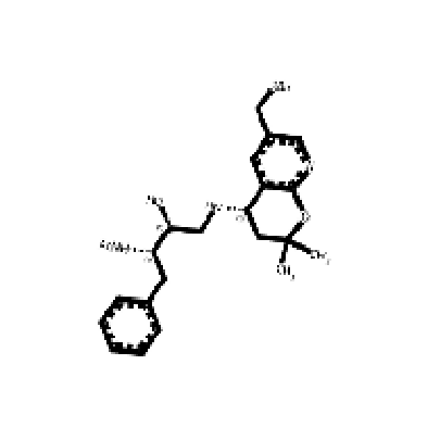 CC(=O)N[C@@H](Cc1ccccc1)[C@@H](O)CN[C@H]1CC(C)(C)Oc2ncc(CC(C)(C)C)cc21